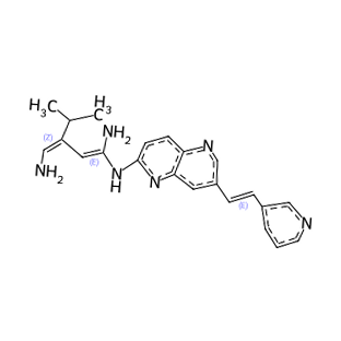 CC(C)C(=C/N)/C=C(\N)Nc1ccc2ncc(/C=C/c3cccnc3)cc2n1